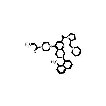 C=CC(=O)N1CCN(c2cc(C(=O)N3CCCC3CN3CCCCC3)nc3c2CCN(c2cccc4cccc(C)c24)C3)CC1